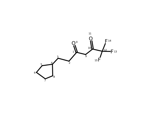 O=C(CCC1CCCC1)CC(=O)C(F)(F)F